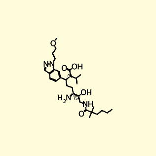 CCCCC(C)(C)C(=O)NC[C@H](O)[C@@H](N)CCC(c1ccc2cnn(CCCOC)c2c1)[C@@H](C(=O)O)C(C)C